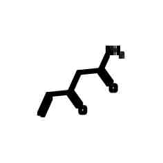 C=CC(=O)CC(N)=O